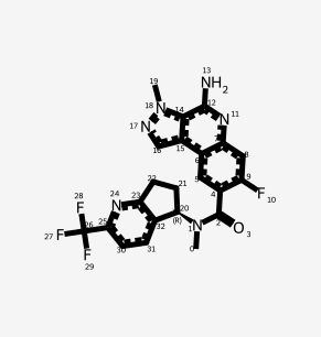 CN(C(=O)c1cc2c(cc1F)nc(N)c1c2cnn1C)[C@@H]1CCc2nc(C(F)(F)F)ccc21